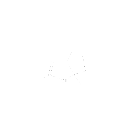 [CH2]C(=O)NC(C)(CC)CC